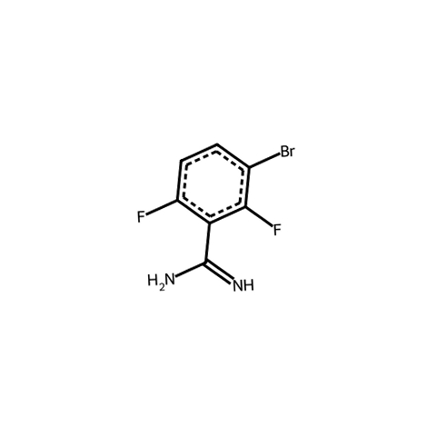 N=C(N)c1c(F)ccc(Br)c1F